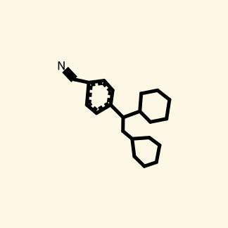 N#Cc1ccc(C(CC2CCCCC2)C2CCCCC2)cc1